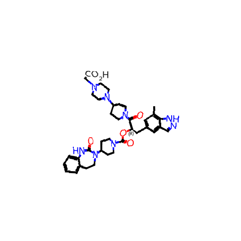 Cc1cc(C[C@@H](OC(=O)N2CCC(N3CCc4ccccc4NC3=O)CC2)C(=O)N2CCC(N3CCN(CC(=O)O)CC3)CC2)cc2cn[nH]c12